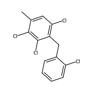 Cc1cc(Cl)c(Cc2ccccc2Cl)c(Cl)c1Cl